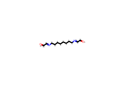 O=CC=NCCCCCCCCN=CC=O